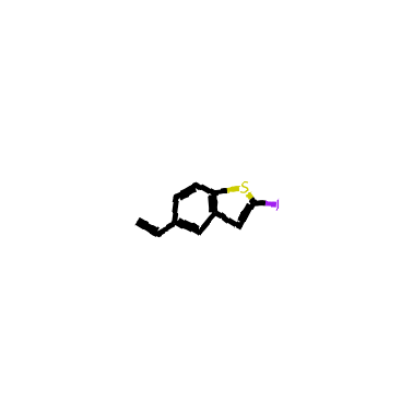 C=Cc1ccc2sc(I)cc2c1